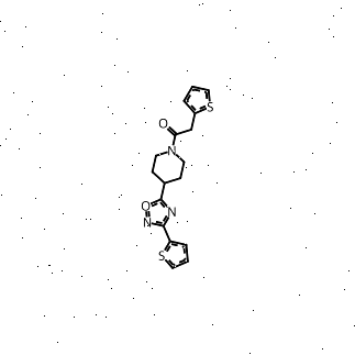 O=C(Cc1cccs1)N1CCC(c2nc(-c3cccs3)no2)CC1